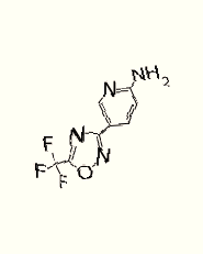 Nc1ccc(-c2noc(C(F)(F)F)n2)cn1